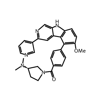 COc1ccc2[nH]c3cnc(-c4cccnc4)cc3c2c1-c1ccc(C(=O)N2CC[C@@H](N(C)C)C2)cc1